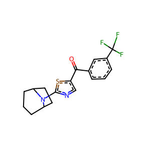 O=C(c1cccc(C(F)(F)F)c1)c1cnc(N2C3CCCC2CC3)s1